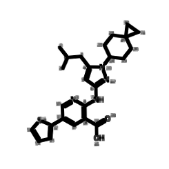 CC(C)Cc1cc(Nc2ncc(-c3cccs3)cc2C(=O)O)nn1C1CCC2(CC1)CC2